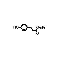 CCCOC(=O)CCc1ccc(O)cc1